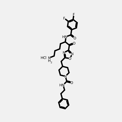 Cl.NCCCCC(NC(=O)c1ccc(F)c(F)c1)C(=O)c1noc(CC2CCN(C(=O)NCCc3ccccc3)CC2)n1